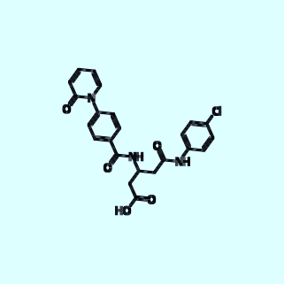 O=C(O)CC(CC(=O)Nc1ccc(Cl)cc1)NC(=O)c1ccc(-n2ccccc2=O)cc1